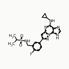 CC(C)S(=O)(=O)NCc1cc(-c2cc3nc(NC4CC4)c4nc[nH]c4n3n2)ccc1F